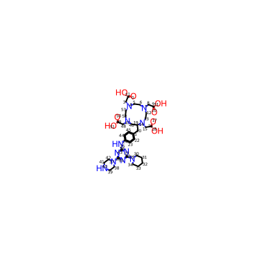 O=C(O)CN1CCN(CC(=O)O)CCN(CC(=O)O)C(Cc2ccc(Nc3nc(N4CCCCC4)nc(N4CCNCC4)n3)cc2)CN(CC(=O)O)CC1